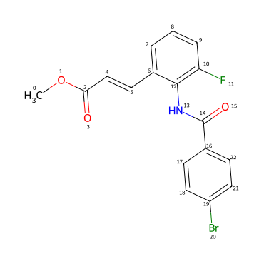 COC(=O)C=Cc1cccc(F)c1NC(=O)c1ccc(Br)cc1